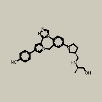 C[C@H](CO)NC[C@@H]1CCN(c2ccc3c(c2)Cn2cc(-c4ccc(C#N)cc4)cc2-c2nncn2-3)C1